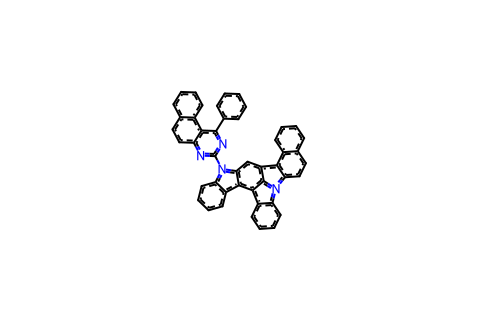 c1ccc(-c2nc(-n3c4ccccc4c4c5c6ccccc6n6c7ccc8ccccc8c7c(cc43)c56)nc3ccc4ccccc4c23)cc1